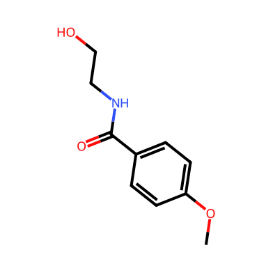 COc1ccc(C(=O)NCCO)cc1